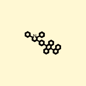 c1ccc(-c2ccc(-c3ccc(-c4c5ccccc5c(-c5cccc6ccccc56)c5ccccc45)cc3)c(-c3ccccc3)n2)cc1